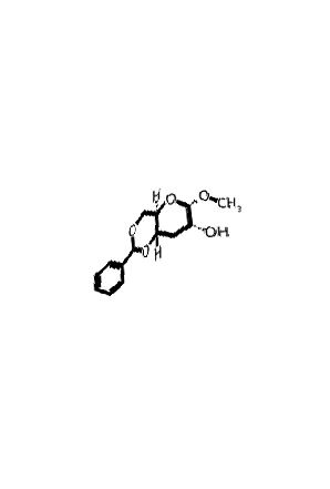 CO[C@H]1O[C@@H]2COC(c3ccccc3)O[C@H]2C[C@H]1O